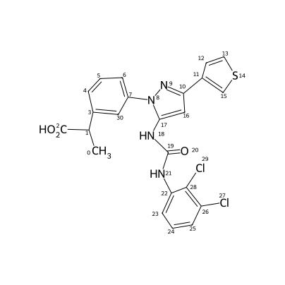 CC(C(=O)O)c1cccc(-n2nc(-c3ccsc3)cc2NC(=O)Nc2cccc(Cl)c2Cl)c1